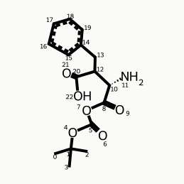 CC(C)(C)OC(=O)OC(=O)[C@@H](N)C(Cc1ccccc1)C(=O)O